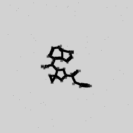 CN(c1ncnc2[nH]ccc12)C1CN(C(=S)CC#N)CC12CC2